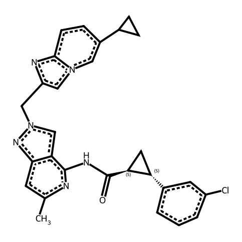 Cc1cc2nn(Cc3cn4cc(C5CC5)ccc4n3)cc2c(NC(=O)[C@H]2C[C@@H]2c2cccc(Cl)c2)n1